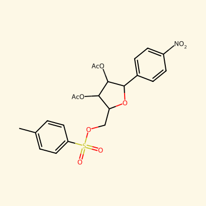 CC(=O)OC1C(COS(=O)(=O)c2ccc(C)cc2)OC(c2ccc([N+](=O)[O-])cc2)C1OC(C)=O